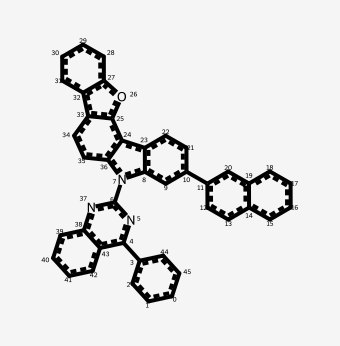 c1ccc(-c2nc(-n3c4cc(-c5ccc6ccccc6c5)ccc4c4c5oc6ccccc6c5ccc43)nc3ccccc23)cc1